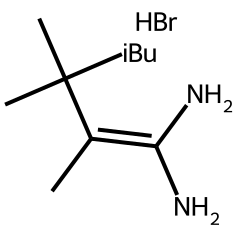 Br.CCC(C)C(C)(C)C(C)=C(N)N